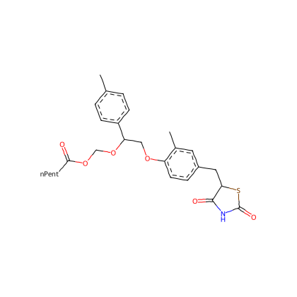 CCCCCC(=O)OCOC(COc1ccc(CC2SC(=O)NC2=O)cc1C)c1ccc(C)cc1